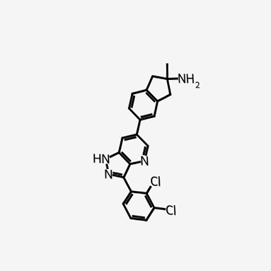 CC1(N)Cc2ccc(-c3cnc4c(-c5cccc(Cl)c5Cl)n[nH]c4c3)cc2C1